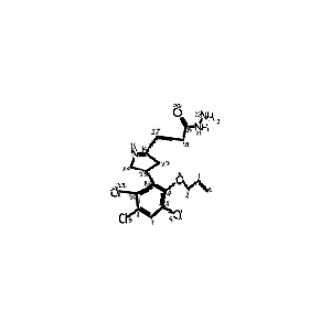 C=CCOc1c(Cl)cc(Cl)c(Cl)c1C1CN=C(CCC(=O)NN)C1